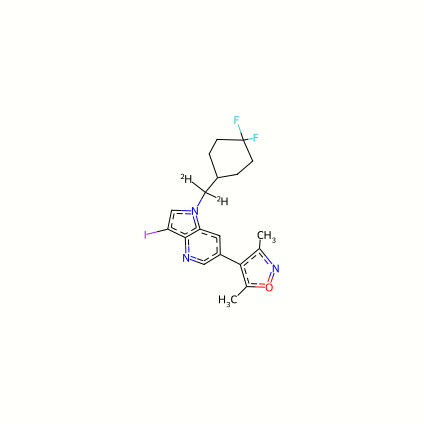 [2H]C([2H])(C1CCC(F)(F)CC1)n1cc(I)c2ncc(-c3c(C)noc3C)cc21